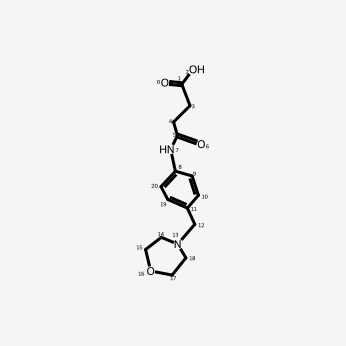 O=C(O)CCC(=O)Nc1ccc(CN2CCOCC2)cc1